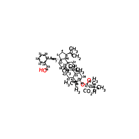 C=C(C)[C@@H]1CC[C@]2(C#Cc3ccccc3CO)CC[C@]3(C)C(CCC4[C@@]5(C)CC[C@H](OC(=O)CC(C)(C)C(=O)O)C(C)(C)C5CC[C@]43C)C12